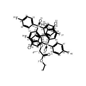 CCOC(=O)[C@H](C)Oc1c(Cl)ccc(P(=O)(c2ccc(F)cc2)c2ccc(F)cc2)c1-c1c(P(=O)(c2ccc(F)cc2)c2ccc(F)cc2)ccc(Cl)c1O